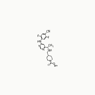 CC(C)OC(=O)N1CCC(CNC(C)c2cc(Nc3cc(F)c(C#N)cc3F)ncn2)CC1